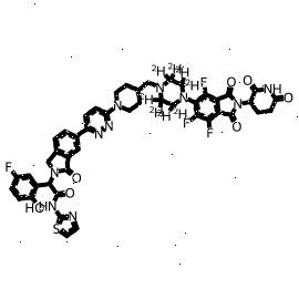 [2H]C1([2H])N(CC2CCN(c3ccc(-c4ccc5c(c4)C(=O)N(C(C(=O)Nc4nccs4)c4cc(F)ccc4O)C5)nn3)CC2)C([2H])([2H])C([2H])([2H])N(c2c(F)c(F)c3c(c2F)C(=O)N(C2CCC(=O)NC2=O)C3=O)C1([2H])[2H]